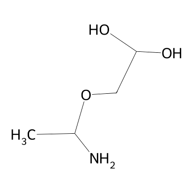 CC(N)OCC(O)O